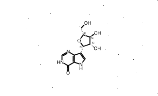 O=c1[nH]cnc2c([C@@H]3O[C@H](CO)[C@@H](O)[C@@H]3O)c[nH]c12